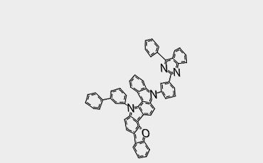 c1ccc(-c2cccc(-n3c4ccc5c6ccccc6oc5c4c4ccc5c(c6ccccc6n5-c5cccc(-c6nc(-c7ccccc7)c7ccccc7n6)c5)c43)c2)cc1